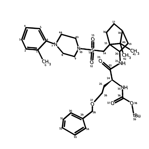 Cc1ccccc1N1CCN(S(=O)(=O)CC23CCC(CC2NC(=O)[C@H](CCOCc2ccccc2)NC(=O)OC(C)(C)C)C3(C)C)CC1